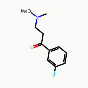 CON(C)CCC(=O)c1cccc(F)c1